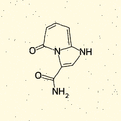 NC(=O)c1c[nH]c2cccc(=O)n12